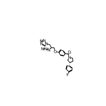 [N-]=[N+]=NC(COc1ccc(C(=O)N2CC[C@H](c3ccc(F)cc3)C2)cc1)Cn1cnnn1